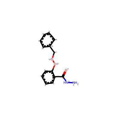 NNC(=O)c1ccccc1OOCc1ccccc1